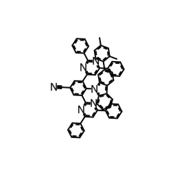 Cc1ccc(-c2ccc3c4ccccc4n(-c4c(-c5cc(-c6ccccc6)nc(-c6ccccc6)n5)cc(C#N)cc4-c4nc(-c5ccccc5)cc(-c5ccccc5)n4)c3c2)c(C)c1